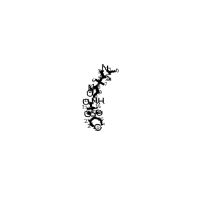 Cc1ncc(C(C)(C)c2cc(NC(=O)C(C)(C)S(=O)(=O)C3CCOCC3)on2)s1